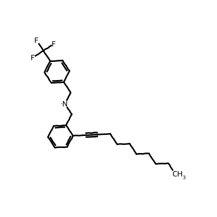 CCCCCCCCC#Cc1ccccc1C[N]Cc1ccc(C(F)(F)F)cc1